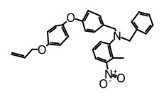 C=CCOc1ccc(Oc2ccc(CN(Cc3ccccc3)c3cccc([N+](=O)[O-])c3C)cc2)cc1